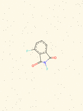 O=C1c2cccc(F)c2C(=O)N1F